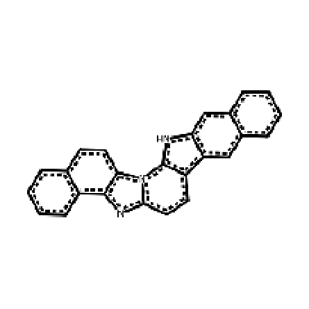 c1ccc2cc3c(cc2c1)[nH]c1c3ccc2nc3c4ccccc4ccc3n21